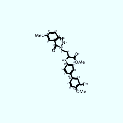 COC(=O)C(CCn1nnc2ccc(OC)cc2c1=O)Sc1ccc(-c2ccc(OC)c(F)c2)cc1